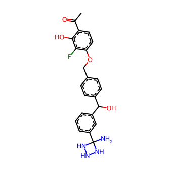 CC(=O)c1ccc(OCc2ccc(C(O)c3cccc(C4(N)NNN4)c3)cc2)c(F)c1O